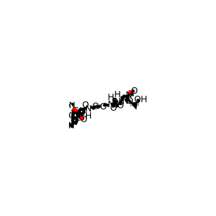 CCC(CC)(NC(=O)c1ccc(N2CC(OC)C2)c(OC[C@H]2C[C@@H]2CO)n1)C(=O)NCCOCCOCCNC(=O)c1ccc2c(c1)C(=O)OC21c2ccc(N(C)C)cc2Oc2cc(N(C)C)ccc21